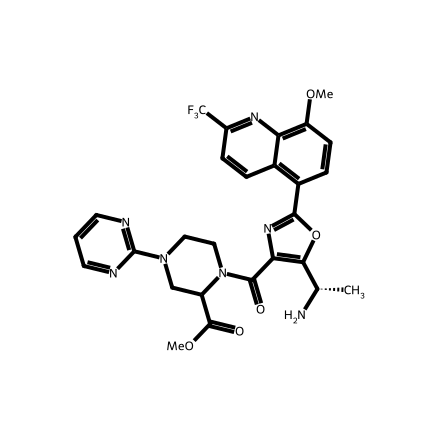 COC(=O)C1CN(c2ncccn2)CCN1C(=O)c1nc(-c2ccc(OC)c3nc(C(F)(F)F)ccc23)oc1[C@H](C)N